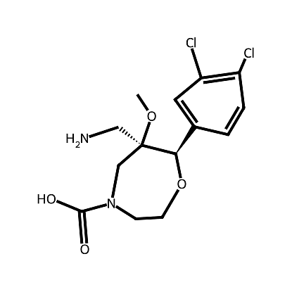 CO[C@]1(CN)CN(C(=O)O)CCO[C@@H]1c1ccc(Cl)c(Cl)c1